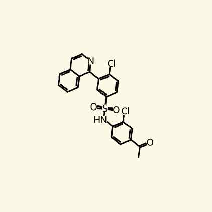 CC(=O)c1ccc(NS(=O)(=O)c2ccc(Cl)c(-c3nccc4ccccc34)c2)c(Cl)c1